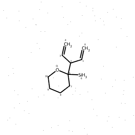 C=C[C](C=C)C1([SiH3])CCCCO1